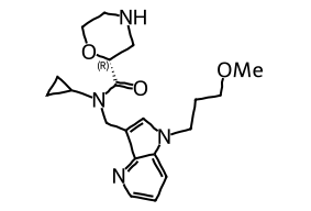 COCCCn1cc(CN(C(=O)[C@H]2CNCCO2)C2CC2)c2ncccc21